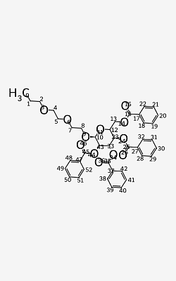 CCCOCCOCCO[C@H]1OC(COC(=O)c2ccccc2)[C@@H](OC(=O)c2ccccc2)[C@H](OC(=O)c2ccccc2)C1OC(=O)c1ccccc1